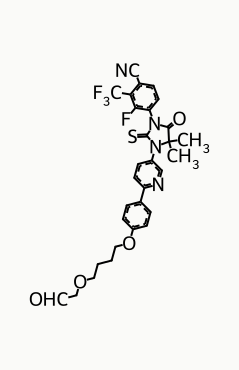 CC1(C)C(=O)N(c2ccc(C#N)c(C(F)(F)F)c2F)C(=S)N1c1ccc(-c2ccc(OCCCCOCC=O)cc2)nc1